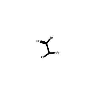 [CH]=C(Br)C(Cl)CCC